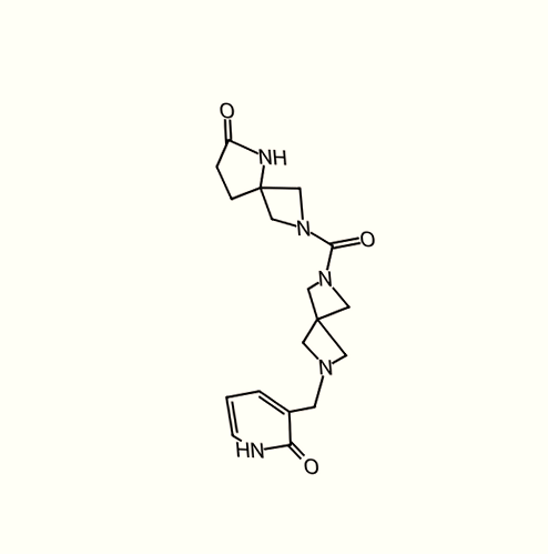 O=C1CCC2(CN(C(=O)N3CC4(CN(Cc5ccc[nH]c5=O)C4)C3)C2)N1